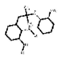 CCN[C@H]1CCCC(CC(C)(C)N[C@H]2CCCC[C@@H]2NC)[C@@H]1NCC